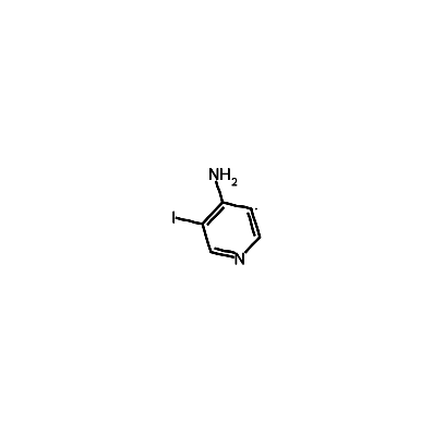 Nc1[c]cncc1I